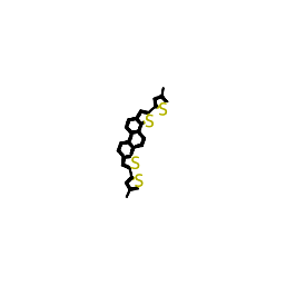 Cc1csc(-c2cc3ccc4c5ccc6cc(-c7cc(C)cs7)sc6c5ccc4c3s2)c1